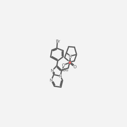 CC(C)(C)OC(=O)N1C2CCC1CN(Cc1c(-c3ccc(Br)cc3)nc3ncccn13)C2